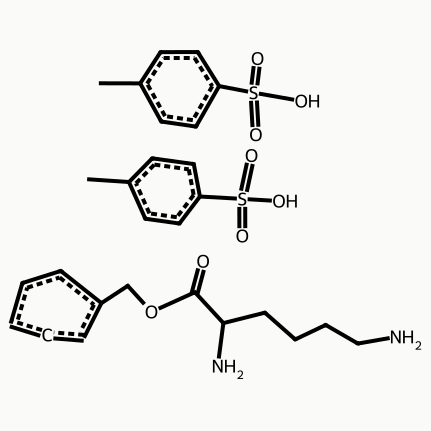 Cc1ccc(S(=O)(=O)O)cc1.Cc1ccc(S(=O)(=O)O)cc1.NCCCCC(N)C(=O)OCc1ccccc1